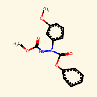 COC(=O)NN(C(=O)Oc1ccccc1)c1cccc(OC)c1